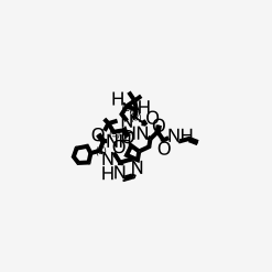 C=CCNC(=O)C(=O)C(CC1CCC1)NC(=O)[C@@H]1[C@@H]2[C@H](CN1C(=O)[C@@H](NC(=O)[C@@H](NC(=O)c1cnccn1)C1CCCCC1)C(C)(C)C)C2(C)C